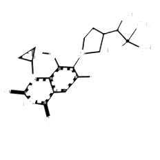 COc1c(N2CCC(C(O)C(C)(C)O)C2)c(F)cc2c(=O)[nH]c(=O)n(C3CC3)c12